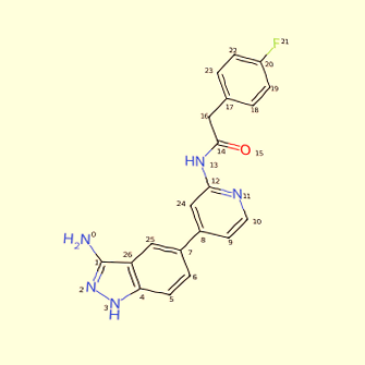 Nc1n[nH]c2ccc(-c3ccnc(NC(=O)Cc4ccc(F)cc4)c3)cc12